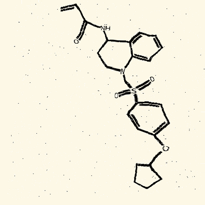 C=CC(=O)NC1CCN(S(=O)(=O)c2ccc(OC3CCCC3)cc2)c2ccccc21